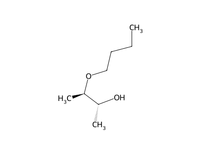 CCCCO[C@H](C)[C@@H](C)O